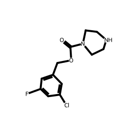 O=C(OCc1cc(F)cc(Cl)c1)N1CCNCC1